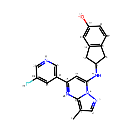 Cc1cnn2c(NC3Cc4ccc(O)cc4C3)cc(-c3cncc(F)c3)nc12